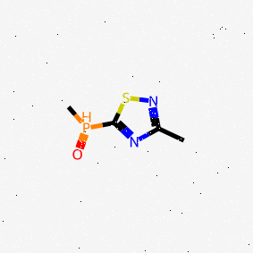 Cc1nsc([PH](C)=O)n1